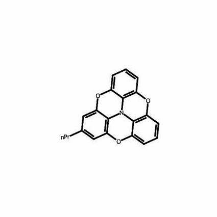 CCCc1cc2c3c(c1)Oc1cccc4c1N3c1c(cccc1O2)O4